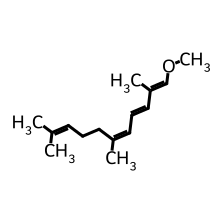 CO/C=C(C)/C=C/C=C(/C)CCC=C(C)C